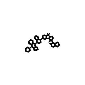 CC1(C)c2ccc(-c3ccc(-c4c5ccccc5c(-c5ccccc5)c5ccccc45)c4ccccc34)cc2-c2c1ccc1c2sc2ccc3ccccc3c21